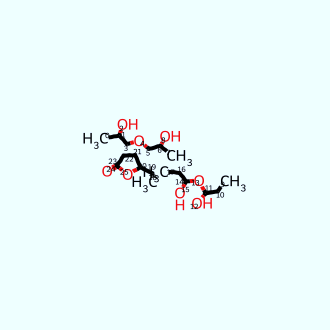 CC(O)COCC(C)O.CCC(O)OC(O)CC.CCC1CCC(=O)O1